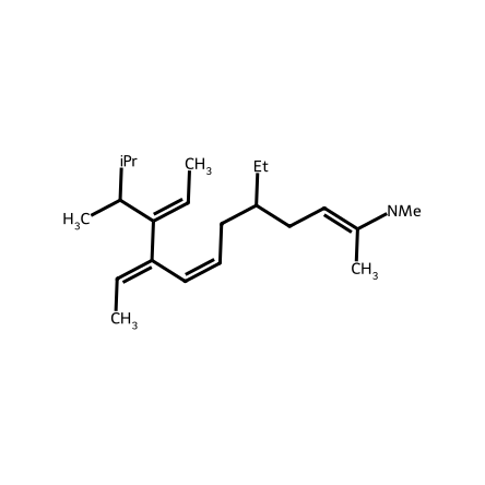 C/C=C(\C=C/CC(CC)C/C=C(\C)NC)C(=C/C)/C(C)C(C)C